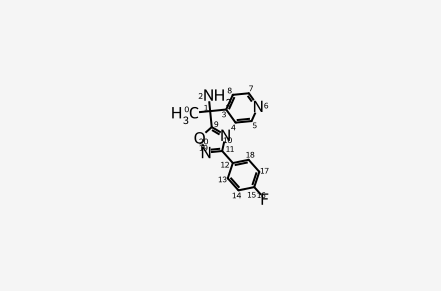 CC(N)(c1ccncc1)c1nc(-c2ccc(F)cc2)no1